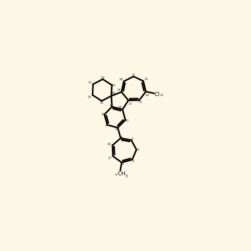 CC1=CCC=C(c2ccc3c(c2)C2=CC(Cl)=CCC=C2C32CCCCC2)C=C1